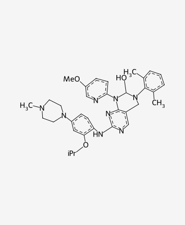 COc1ccc(N2c3nc(Nc4ccc(N5CCN(C)CC5)cc4OC(C)C)ncc3CN(c3c(C)cccc3C)C2O)nc1